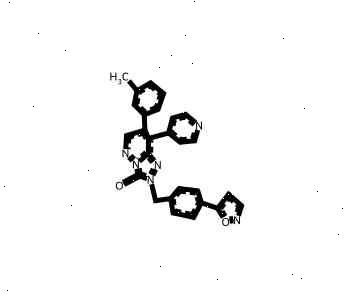 Cc1cccc(-c2cnn3c(=O)n(Cc4ccc(-c5ccno5)cc4)nc3c2-c2ccncc2)c1